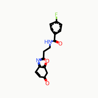 O=C1C=Cc2nc(CCNC(=O)c3ccc(F)cc3)oc2C1